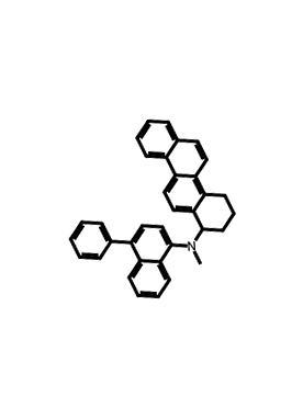 CN(c1ccc(-c2ccccc2)c2ccccc12)C1CCCc2c1ccc1c2ccc2ccccc21